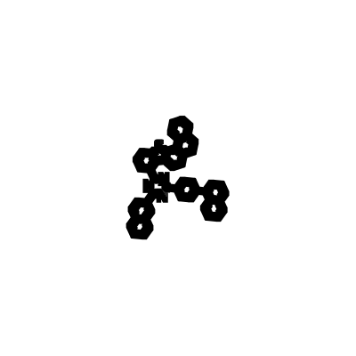 c1ccc2cc(-c3nc(-c4ccc(-c5cccc6ccccc56)cc4)nc(-c4cccc5sc6c(ccc7ccc8ccccc8c76)c45)n3)ccc2c1